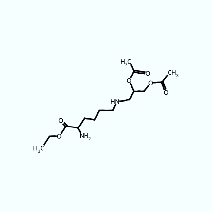 CCOC(=O)C(N)CCCCNCC(COC(C)=O)OC(C)=O